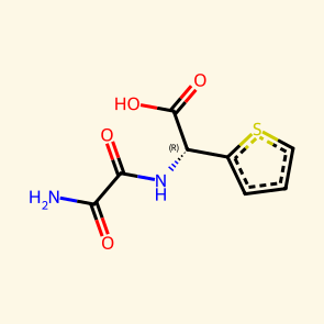 NC(=O)C(=O)N[C@H](C(=O)O)c1cccs1